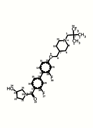 CC(C)(CN1CCC(COc2ccc(-c3ccc(C(=O)N4CC[C@@H](O)C4)c(F)c3)c(F)c2)CC1)C(F)(F)F